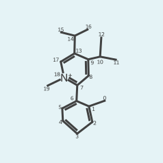 Cc1ccccc1-c1cc(C(C)C)c(C(C)C)c[n+]1C